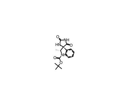 C[C@@H](NC(=O)OC(C)(C)C)[C@]1(c2ccccc2)NC(=O)NC1=O